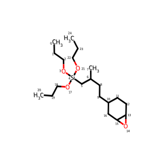 CCCO[Si](CC(C)CCC1CCC2OC2C1)(OCCC)OCCC